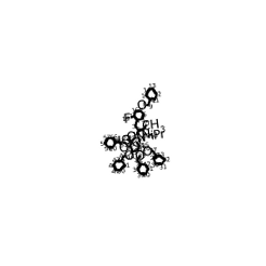 Cc1c(Cc2ccc(OCc3ccccc3)cc2F)c(O[C@]2(O)O[C@H](COCc3ccccc3)[C@@H](OCc3ccccc3)[C@H](OCc3ccccc3)[C@H]2OCc2ccccc2)nn1C(C)C